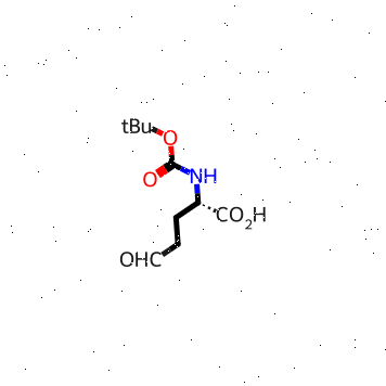 CC(C)(C)OC(=O)N[C@@H](CCC=O)C(=O)O